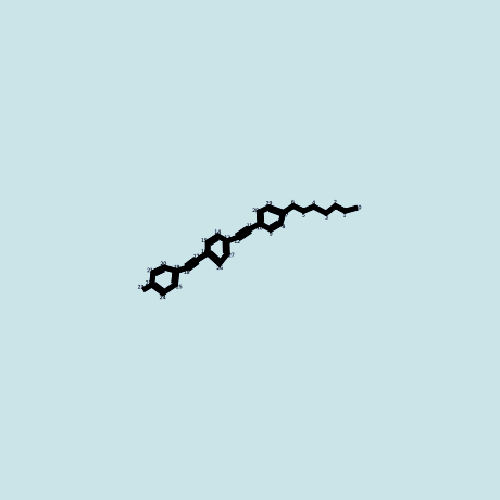 CCCCCCCc1ccc(C#Cc2ccc(C#Cc3ccc(C)cc3)cc2)cc1